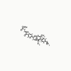 COC(=O)CCNC(=O)c1ccc(C(CC(C)(C)C)Oc2cc(C)c(-c3ccc(OC(F)(F)F)cc3)c(C)c2)cc1